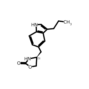 CCCc1c[nH]c2ccc(C[C@H]3COC(=O)N3)cc12